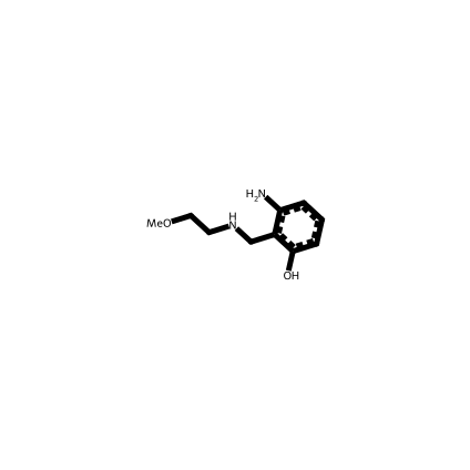 COCCNCc1c(N)cccc1O